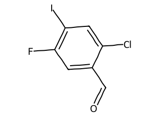 O=Cc1cc(F)c(I)cc1Cl